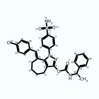 C[C@@H](NC(=O)Oc1nn(-c2ccc(S(N)(=O)=O)cc2)c2c1CCCC/C2=C\c1ccc(Cl)cc1)c1ccccc1